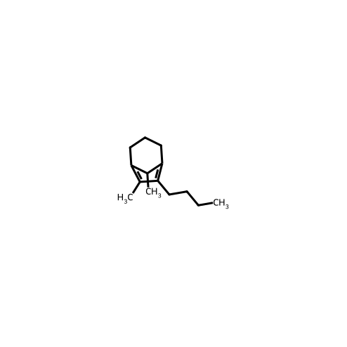 CCCCC1=C2CCCC(=C1C)C2C